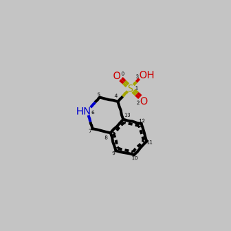 O=S(=O)(O)C1CNCc2ccccc21